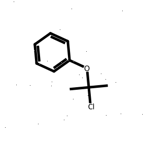 CC(C)(Cl)Oc1ccccc1